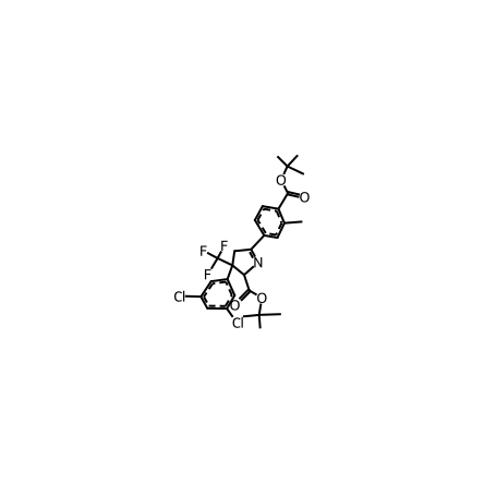 Cc1cc(C2=NC(C(=O)OC(C)(C)C)C(c3cc(Cl)cc(Cl)c3)(C(F)(F)F)C2)ccc1C(=O)OC(C)(C)C